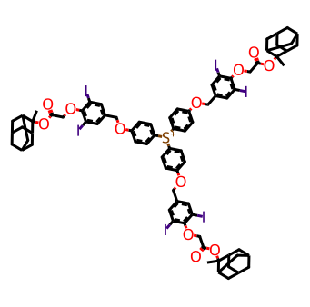 CC1(OC(=O)COc2c(I)cc(COc3ccc([S+](c4ccc(OCc5cc(I)c(OCC(=O)OC6(C)C7CC8CC(C7)CC6C8)c(I)c5)cc4)c4ccc(OCc5cc(I)c(OCC(=O)OC6(C)C7CC8CC(C7)CC6C8)c(I)c5)cc4)cc3)cc2I)C2CC3CC(C2)CC1C3